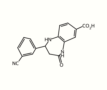 N#Cc1cccc(C2CC(=O)Nc3cc(C(=O)O)ccc3N2)c1